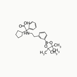 CC1(C)OB(c2cccc(CCNC(C(=O)O)(c3ccccc3)C3CCCC3)c2)OC1(C)C